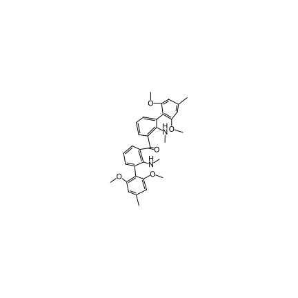 CNc1c(C(=O)c2cccc(-c3c(OC)cc(C)cc3OC)c2NC)cccc1-c1c(OC)cc(C)cc1OC